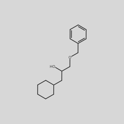 OC(COCc1ccccc1)CC1CCCCC1